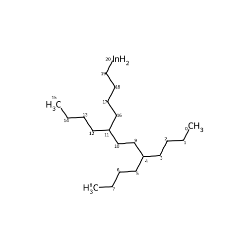 CCCCC(CCCC)CCC(CCCC)CCC[CH2][InH2]